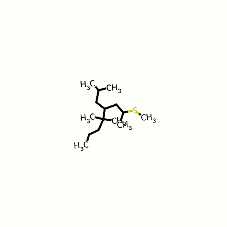 CCCC(C)(C)C(CC(C)C)CC(C)SC